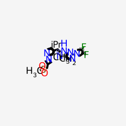 C=N/C(=C\c1c(C(C)C)cnc(N2CC(CS(C)(=O)=O)C2)c1C)Nc1ccnc(N2C[C@@H](F)[C@H](F)C2)n1